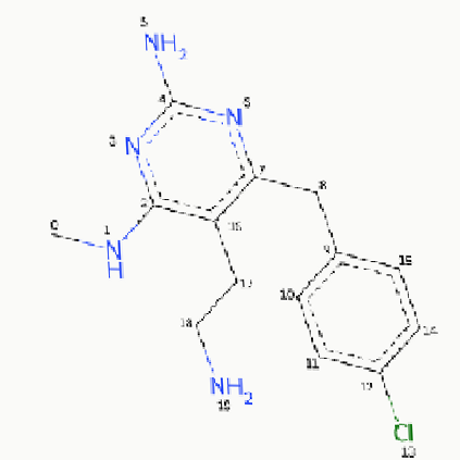 CNc1nc(N)nc(Cc2ccc(Cl)cc2)c1CCN